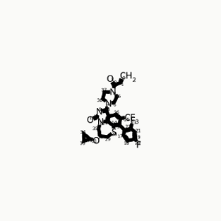 C=CC(=O)N1CCN(c2nc(=O)n3c4c(c(-c5ccc(F)cc5F)c(C(F)(F)F)cc24)SCC(OC2CC2)C3)CC1